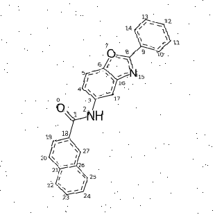 O=C(Nc1ccc2oc(-c3ccccc3)nc2c1)c1ccc2ccccc2c1